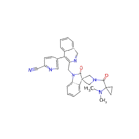 CN(C)C1(C(=O)N2CC3(C2)C(=O)N(Cc2ncc4ccccc4c2-c2ccc(C#N)nc2)c2ccccc23)CC1